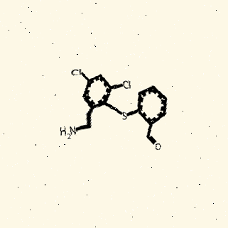 NCc1cc(Cl)cc(Cl)c1Sc1ccccc1C=O